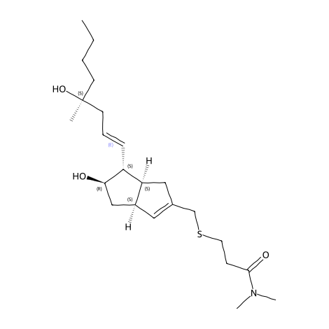 CCCC[C@](C)(O)C/C=C/[C@@H]1[C@H]2CC(CSCCC(=O)N(C)C)=C[C@H]2C[C@H]1O